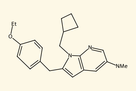 CCOc1ccc(Cc2cc3cc(NC)cnc3n2CC2CCC2)cc1